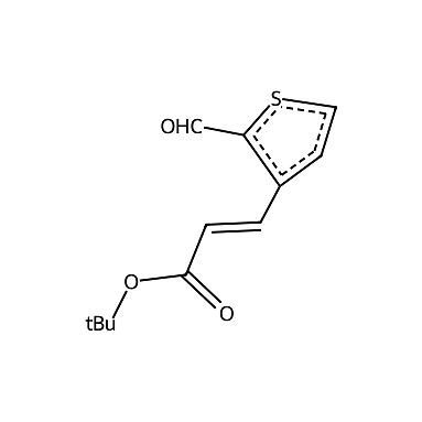 CC(C)(C)OC(=O)/C=C/c1ccsc1C=O